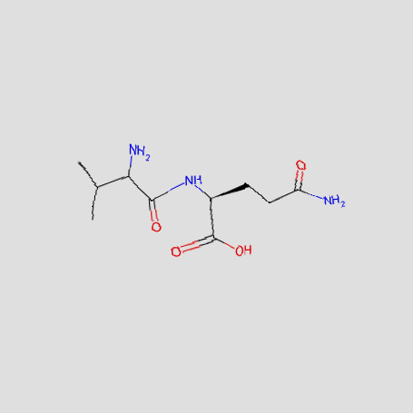 CC(C)C(N)C(=O)N[C@@H](CCC(N)=O)C(=O)O